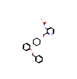 CC(C)(C)OC(=O)Nc1cccnc1CO[C@H]1CC[C@@H](c2ccccc2OCc2ccccc2)CC1